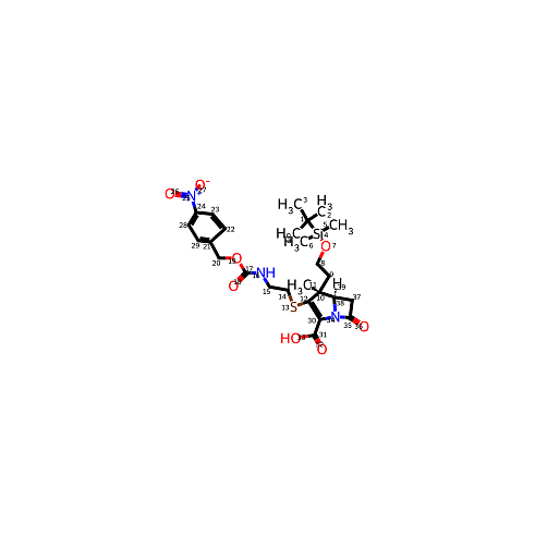 CC(C)(C)[Si](C)(C)OCC[C@@]1(C)C(SCCNC(=O)OCc2ccc([N+](=O)[O-])cc2)=C(C(=O)O)N2C(=O)C[C@@H]21